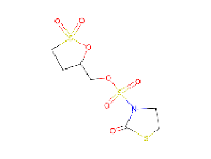 O=C1SCCN1S(=O)(=O)OCC1CCS(=O)(=O)O1